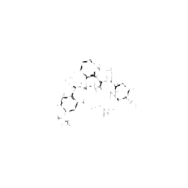 CN(C)CCOc1cc(S(C)(=O)=O)ccc1C(=O)Nc1cccnc1C(=O)Nc1ccc(Cl)cn1